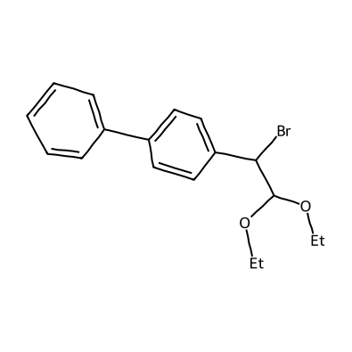 CCOC(OCC)C(Br)c1ccc(-c2ccccc2)cc1